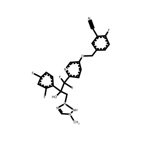 CN1C=NN(CC(O)(c2ccc(F)cc2F)C(F)(F)c2ccc(OCc3ccc(F)c(C#N)c3)cn2)N1